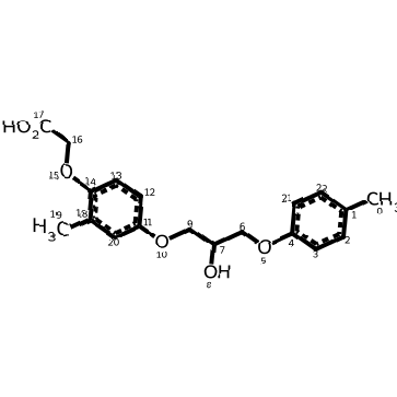 Cc1ccc(OCC(O)COc2ccc(OCC(=O)O)c(C)c2)cc1